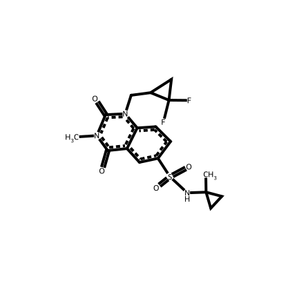 Cn1c(=O)c2cc(S(=O)(=O)NC3(C)CC3)ccc2n(CC2CC2(F)F)c1=O